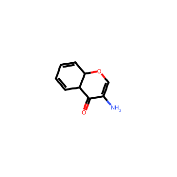 NC1=COC2C=CC=CC2C1=O